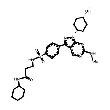 CCCCNc1ncc2c(-c3ccc(S(=O)(=O)NCCC(=O)NC4CCCCC4)cc3)nn([C@H]3CC[C@@H](O)CC3)c2n1